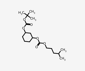 CC(C)CCCOC(=O)OC1CCCC(OC(=O)OC(C)(C)C)C1